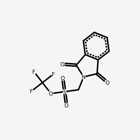 O=C1c2ccccc2C(=O)N1CS(=O)(=O)OC(F)(F)F